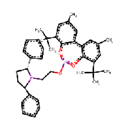 Cc1cc(C(C)(C)C)c2op(OCCP3[C@@H](c4ccccc4)CC[C@@H]3c3ccccc3)oc3c(C(C)(C)C)cc(C)cc3c2c1